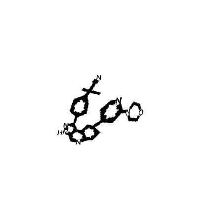 CC(C)(C#N)c1ccc(-c2n[nH]c3cnc4ccc(-c5ccnc(N6CCOCC6)c5)cc4c23)cc1